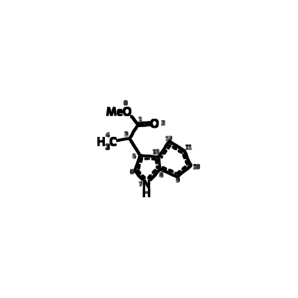 COC(=O)C(C)c1c[nH]c2ccccc12